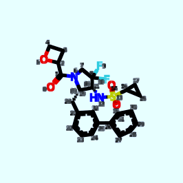 O=C(C1CCO1)N1CC(F)(F)[C@H](NS(=O)(=O)C2CC2)[C@@H]1Cc1cccc(-c2ccccc2)c1